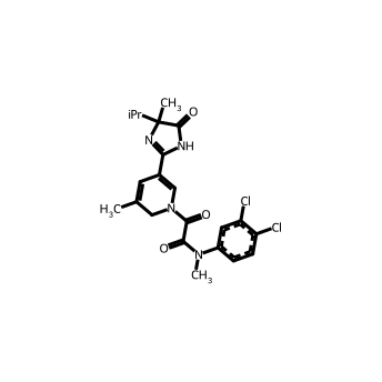 CC1=CC(C2=NC(C)(C(C)C)C(=O)N2)=CN(C(=O)C(=O)N(C)c2ccc(Cl)c(Cl)c2)C1